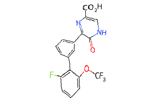 O=C(O)c1c[nH]c(=O)c(-c2cccc(-c3c(F)cccc3OC(F)(F)F)c2)n1